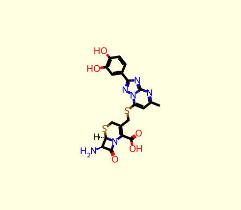 Cc1cc(SCC2=C(C(=O)O)N3C(=O)[C@@H](N)[C@H]3SC2)n2nc(-c3ccc(O)c(O)c3)nc2n1